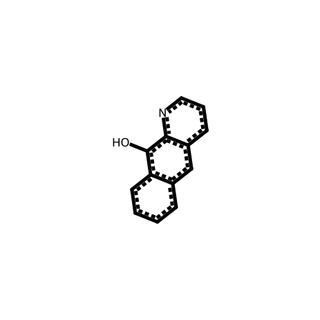 Oc1c2ccccc2cc2cccnc12